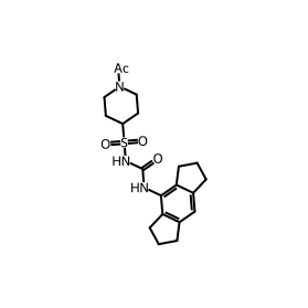 CC(=O)N1CCC(S(=O)(=O)NC(=O)Nc2c3c(cc4c2CCC4)CCC3)CC1